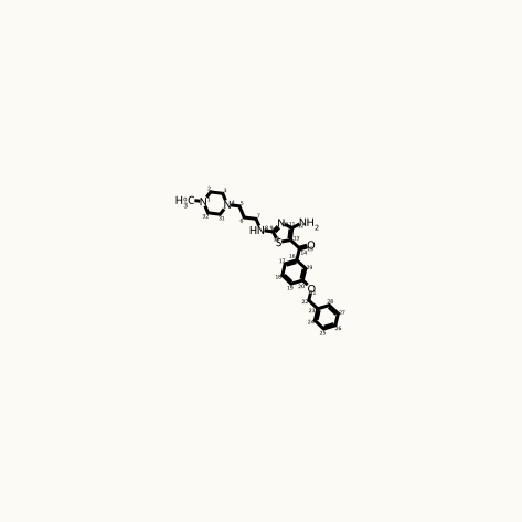 CN1CCN(CCCNc2nc(N)c(C(=O)c3cccc(OCc4ccccc4)c3)s2)CC1